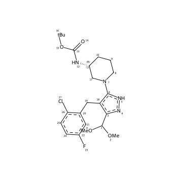 COC(OC)c1n[nH]c(N2CCC[C@@H](NC(=O)OC(C)(C)C)C2)c1Cc1cc(F)ccc1Cl